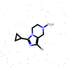 CCc1nc(C2CC2)n2c1CN(C(=O)O)CC2